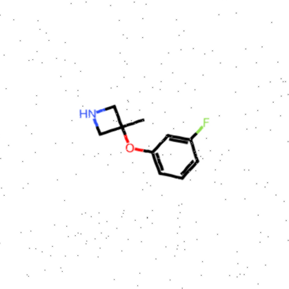 CC1(Oc2cccc(F)c2)CNC1